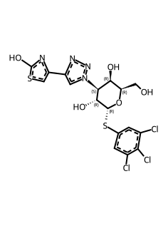 OC[C@H]1O[C@H](Sc2cc(Cl)c(Cl)c(Cl)c2)[C@H](O)[C@@H](n2cc(-c3csc(O)n3)nn2)[C@H]1O